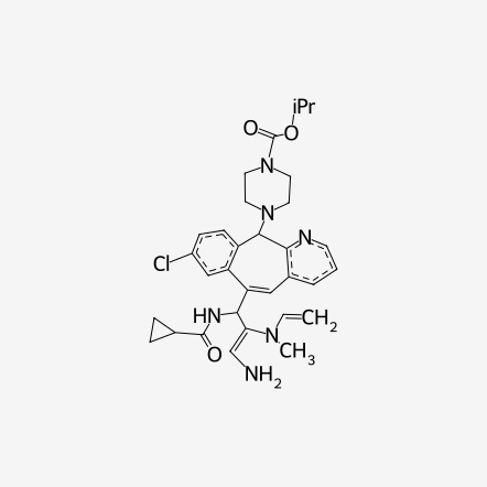 C=CN(C)/C(=C\N)C(NC(=O)C1CC1)C1=Cc2cccnc2C(N2CCN(C(=O)OC(C)C)CC2)c2ccc(Cl)cc21